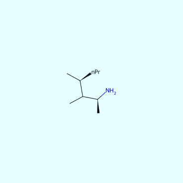 CCC[C@H](C)C(C)[C@H](C)N